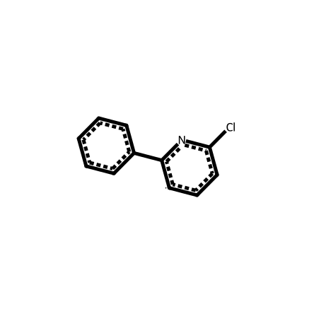 Clc1cc[c]c(-c2ccccc2)n1